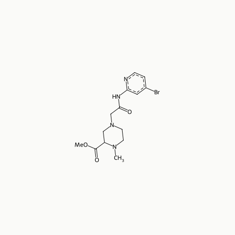 COC(=O)C1CN(CC(=O)Nc2cc(Br)ccn2)CCN1C